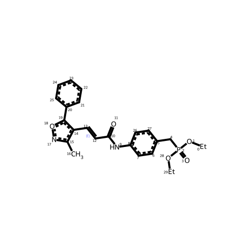 CCOP(=O)(Cc1ccc(NC(=O)/C=C/c2c(C)noc2-c2ccccc2)cc1)OCC